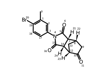 Cc1cc(N2C(=O)[C@@H]3[C@@H]4CC(=O)[C@@H](C4)[C@@H]3C2=O)ccc1Br